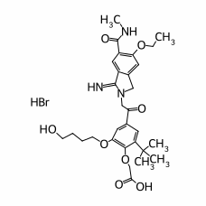 Br.CCOc1cc2c(cc1C(=O)NC)C(=N)N(CC(=O)c1cc(OCCCCO)c(OCC(=O)O)c(C(C)(C)C)c1)C2